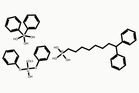 CCCCCCCC[PH](O)(Oc1ccccc1)Oc1ccccc1.OP(O)(O)(c1ccccc1)c1ccccc1.O[PH](O)(O)CCCCCCCC(c1ccccc1)c1ccccc1